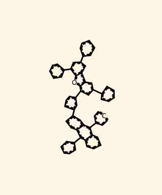 c1ccc(-c2cc(-c3ccccc3)c3oc4c(-c5cccc(-c6ccc7c(-c8ccccc8)c8ccccc8c(-c8ccccc8)c7c6)c5)cc(-c5ccccc5)cc4c3c2)cc1